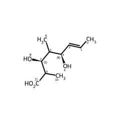 CC=C[C@@H](O)C(C)[C@H](O)C(C)C(=O)O